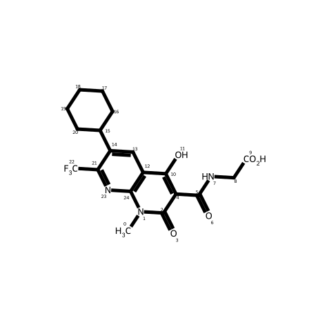 Cn1c(=O)c(C(=O)NCC(=O)O)c(O)c2cc(C3CCCCC3)c(C(F)(F)F)nc21